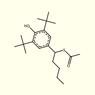 CCCCC(SC(C)=O)c1cc(C(C)(C)C)c(O)c(C(C)(C)C)c1